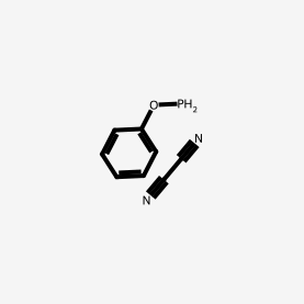 N#CC#N.POc1ccccc1